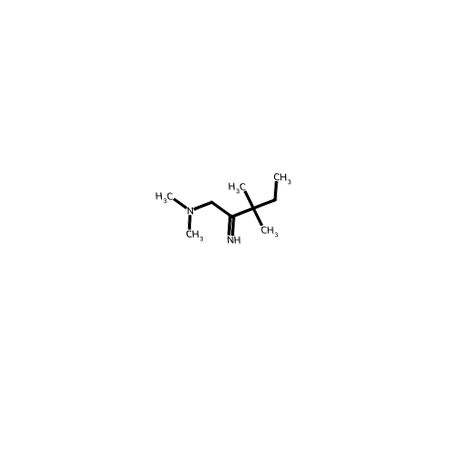 CCC(C)(C)C(=N)CN(C)C